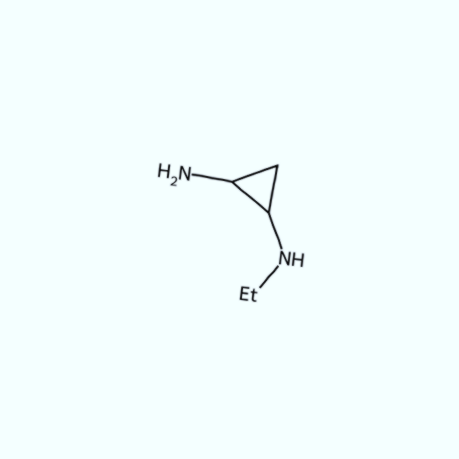 CCNC1CC1N